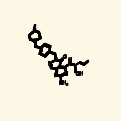 CCC[C@@H](CO)Nc1nc(N)nc2cnn(Cc3ccc(CN4CCN(C)CC4)cc3)c(=O)c12